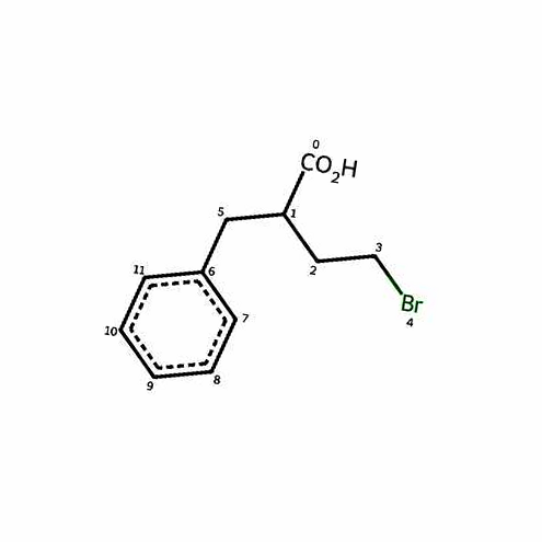 O=C(O)C(CCBr)Cc1ccccc1